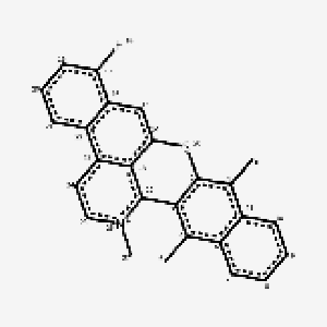 Cc1c2c(c(C)c3ccccc13)-c1c3c(cc4c(F)cccc4c3cc[n+]1C)S2